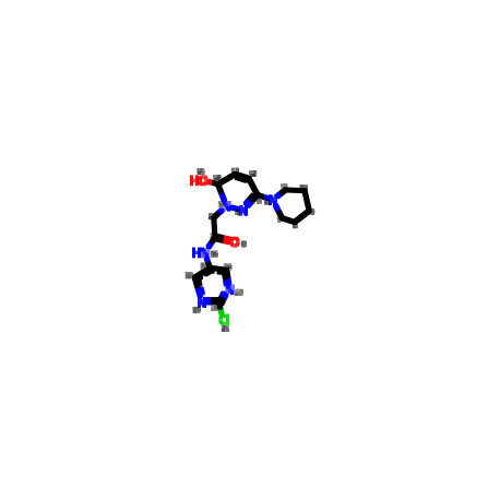 O=C(CN1N=C(N2CCCCC2)C=CC1O)Nc1cnc(Cl)nc1